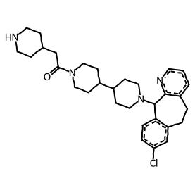 O=C(CC1CCNCC1)N1CCC(C2CCN(C3c4ccc(Cl)cc4CCc4cccnc43)CC2)CC1